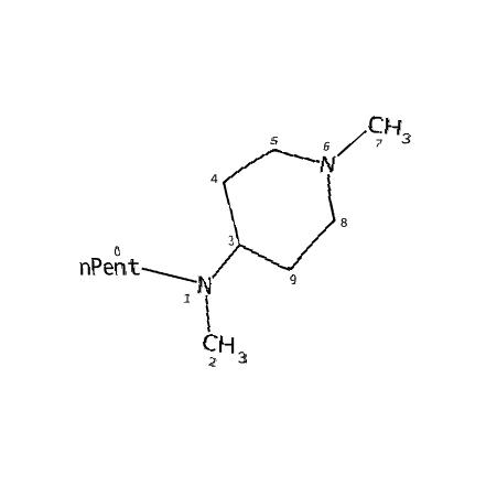 CCCCCN(C)C1CCN(C)CC1